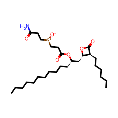 CCCCCCCCCCC[C@@H](C[C@@H]1OC(=O)[C@H]1CCCCCC)OC(=O)CC[S+]([O-])CCC(N)=O